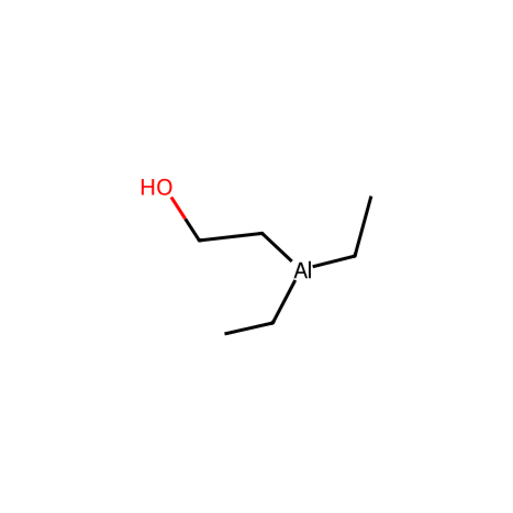 C[CH2][Al]([CH2]C)[CH2]CO